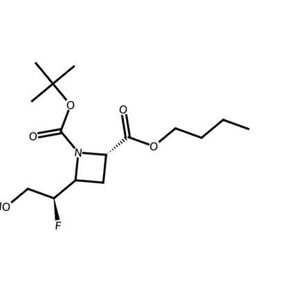 CCCCOC(=O)[C@@H]1CC([C@@H](F)CO)N1C(=O)OC(C)(C)C